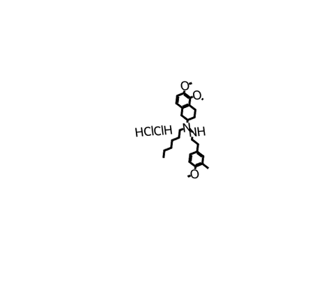 CCCCCCN(NCCc1ccc(OC)c(C)c1)C1CCc2c(ccc(OC)c2OC)C1.Cl.Cl